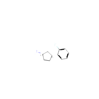 N[C@@H]1CC[C@@H](c2ccccc2F)C1